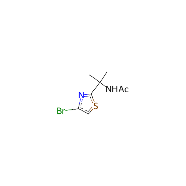 CC(=O)NC(C)(C)c1nc(Br)cs1